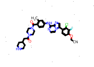 Cc1cc(Nc2nccn3c(-c4ccc(OCC#N)c(F)c4Cl)cnc23)ccc1C(=O)N1CCN(C(=O)CC2CCNCC2)CC1